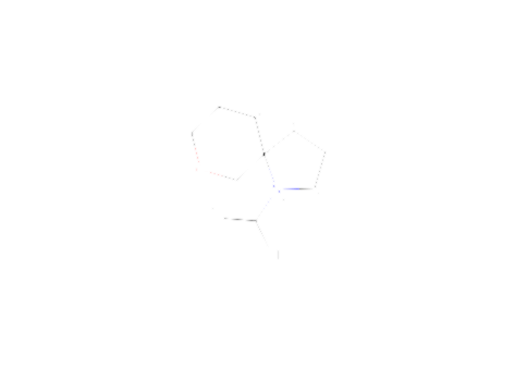 CC(C)N1CCCC12CCCOC2